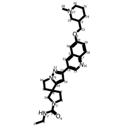 CCNC(=O)N1CCC2(CCn3nc(-c4cnc5ccc(OCC6CCCN(C)C6)cc5c4)cc32)C1